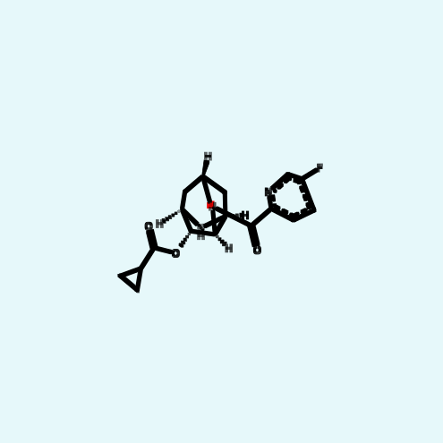 O=C(O[C@H]1[C@@H]2[C@@H]3C[C@@H](C[C@H]1N3)CN2C(=O)c1ccc(F)cn1)C1CC1